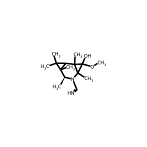 COC1(O)C2(C)C3C(C)(C)C3(C)[C@H](C)N(C=N)C12C